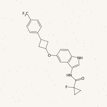 O=C(Nc1c[nH]c2ccc(OC3CC(c4ccc(C(F)(F)F)cc4)C3)cc12)C1(F)CC1